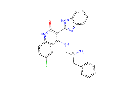 N[C@@H](CNc1c(-c2nc3ccccc3[nH]2)c(=O)[nH]c2ccc(Cl)cc12)Cc1ccccc1